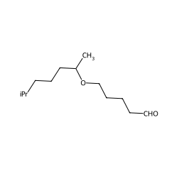 CC(C)CCCC(C)OCCCCC=O